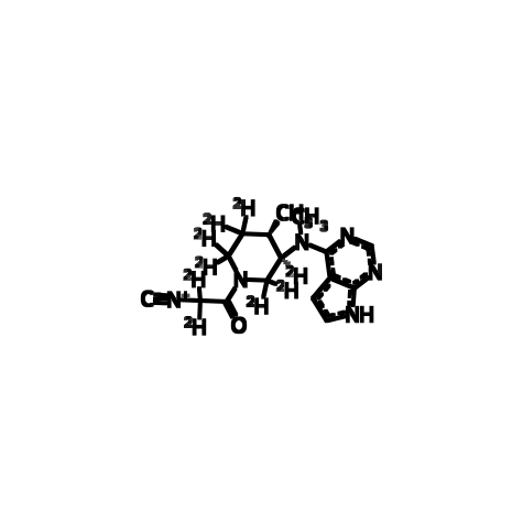 [2H]C([2H])([N+]#[C-])C(=O)N1C([2H])([2H])C([2H])([2H])[C@@H](C)[C@@]([2H])(N(C)c2ncnc3[nH]ccc23)C1([2H])[2H]